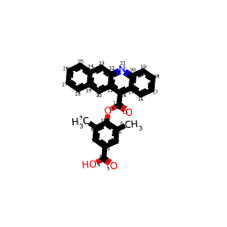 Cc1cc(C(=O)O)cc(C)c1OC(=O)c1c2ccccc2nc2cc3ccccc3cc12